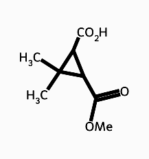 COC(=O)C1C(C(=O)O)C1(C)C